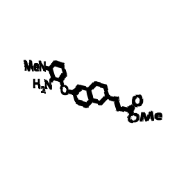 CNc1cccc(Oc2ccc3c(c2)CCC(CCC(=O)OC)C3)c1N